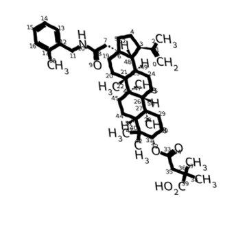 C=C(C)[C@@H]1CC[C@]2(CC(=O)NCc3ccccc3C)CC[C@]3(C)[C@H](CC[C@@H]4[C@@]5(C)CC[C@H](OC(=O)CC(C)(C)C(=O)O)C(C)(C)[C@@H]5CC[C@]43C)[C@@H]12